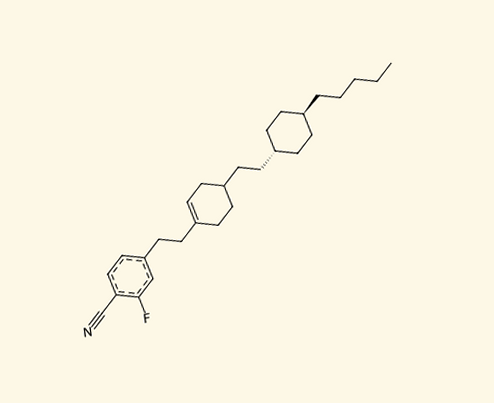 CCCCC[C@H]1CC[C@H](CCC2CC=C(CCc3ccc(C#N)c(F)c3)CC2)CC1